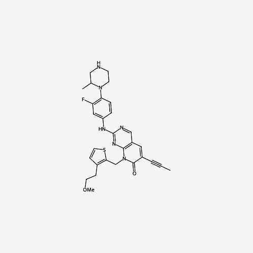 CC#Cc1cc2cnc(Nc3ccc(N4CCNCC4C)c(F)c3)nc2n(Cc2sccc2CCOC)c1=O